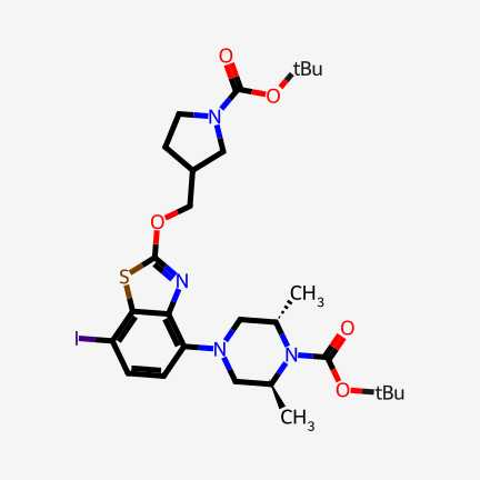 C[C@H]1CN(c2ccc(I)c3sc(OCC4CCN(C(=O)OC(C)(C)C)C4)nc23)C[C@H](C)N1C(=O)OC(C)(C)C